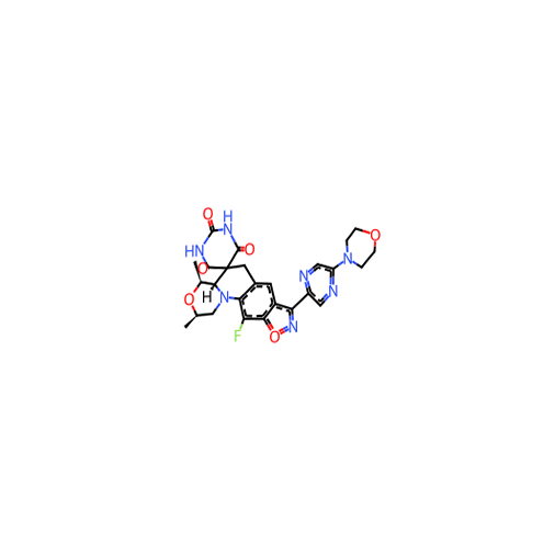 C[C@@H]1CN2c3c(cc4c(-c5cnc(N6CCOCC6)cn5)noc4c3F)CC3(C(=O)NC(=O)NC3=O)[C@H]2[C@H](C)O1